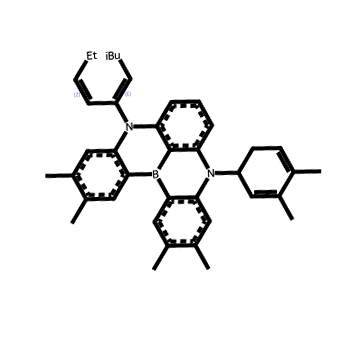 CC/C=C\C(=C/C(C)CC)N1c2cc(C)c(C)cc2B2c3cc(C)c(C)cc3N(C3C=C(C)C(C)=CC3)c3cccc1c32